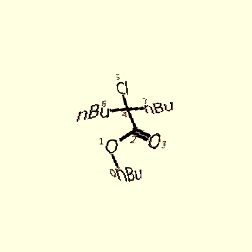 CCCCOC(=O)C(Cl)(CCCC)CCCC